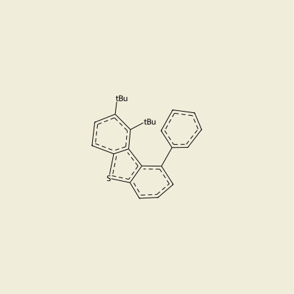 CC(C)(C)c1ccc2sc3cccc(-c4ccccc4)c3c2c1C(C)(C)C